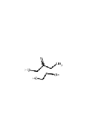 CCC(=O)CO.OCCO